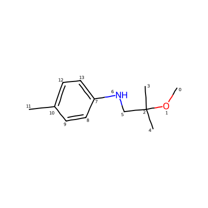 COC(C)(C)CNc1ccc(C)cc1